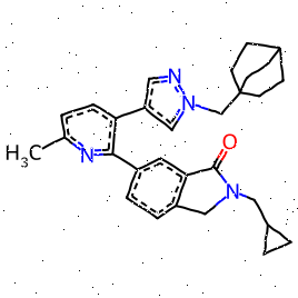 Cc1ccc(-c2cnn(CC34CCC(CC3)CC4)c2)c(-c2ccc3c(c2)C(=O)N(CC2CC2)C3)n1